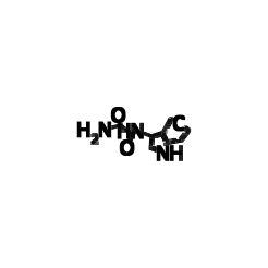 NC(=O)C(=O)Nc1c[nH]c2ccccc12